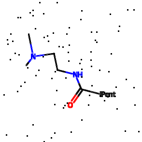 [CH2]C(CCC)C(=O)NCCN(C)C